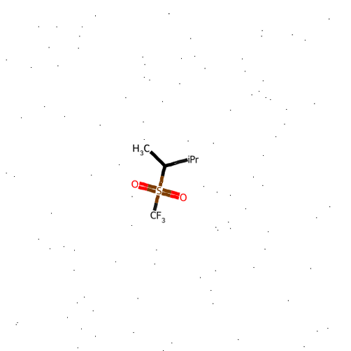 CC(C)C(C)S(=O)(=O)C(F)(F)F